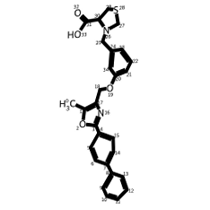 Cc1oc(-c2ccc(-c3ccccc3)cc2)nc1COc1cccc(CN2CSCC2C(=O)O)c1